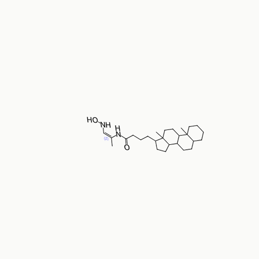 C/C(=C/NO)NC(=O)CCCC1CCC2C3CCC4CCCCC4(C)C3CCC12C